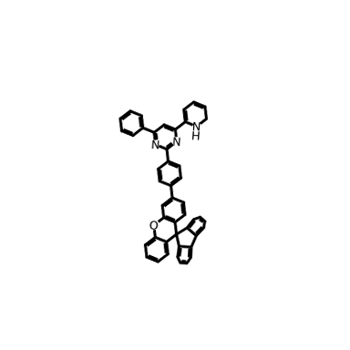 C1=CCNC(c2cc(-c3ccccc3)nc(-c3ccc(-c4ccc5c(c4)Oc4ccccc4C54c5ccccc5-c5ccccc54)cc3)n2)=C1